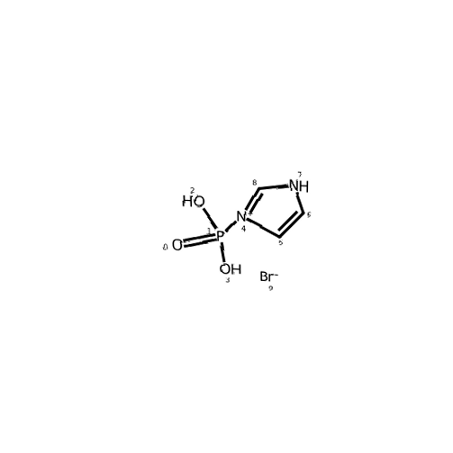 O=P(O)(O)[n+]1cc[nH]c1.[Br-]